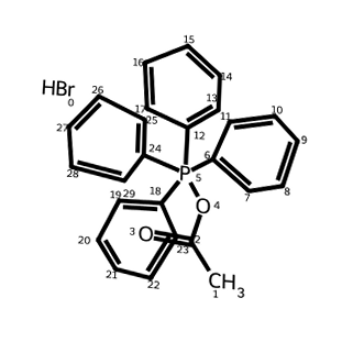 Br.CC(=O)OP(c1ccccc1)(c1ccccc1)(c1ccccc1)c1ccccc1